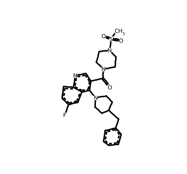 CS(=O)(=O)N1CCN(C(=O)c2cnc3ccc(F)cc3c2N2CCC(Cc3ccccc3)CC2)CC1